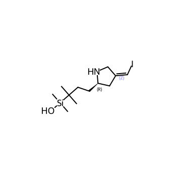 CC(C)(CC[C@@H]1C/C(=C/I)CN1)[Si](C)(C)O